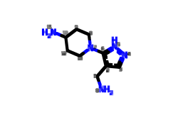 NCc1cn[nH]c1N1CCC(N)CC1